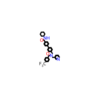 O=C(NC1CCCCC1)c1ccc(-c2ccc(CN(Cc3cccnc3)C(=O)c3ccc(C(F)(F)F)cc3)cc2)cc1